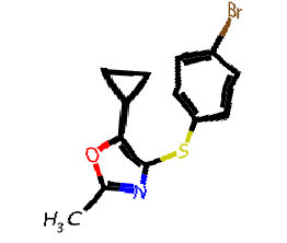 Cc1nc(Sc2ccc(Br)cc2)c(C2CC2)o1